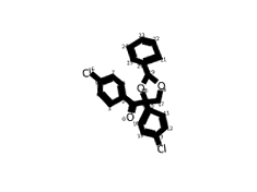 O=C(c1ccc(Cl)cc1)C1(c2ccc(Cl)cc2)COC(c2ccccc2)O1